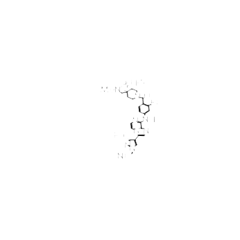 CCc1cc(Nc2nccn3c(-c4cn(CC#N)nc4C(F)(F)F)cnc23)ccc1C(=O)N1CCC(CNC)(OC=O)CC1